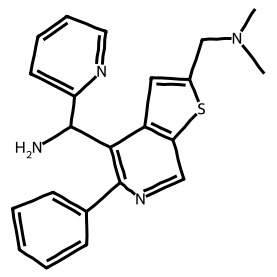 CN(C)Cc1cc2c(C(N)c3ccccn3)c(-c3ccccc3)ncc2s1